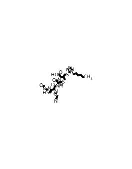 CCCCCCn1nnnc1SCC1=C(C(=O)O)N2C(=O)C(NC(=O)C(=NOCC#N)c3csc(NC=O)n3)[C@@H]2SC1